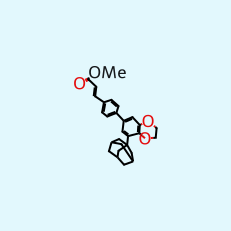 COC(=O)C=Cc1ccc(-c2cc3c(c(C45CC6CC(CC(C6)C4)C5)c2)OCCO3)cc1